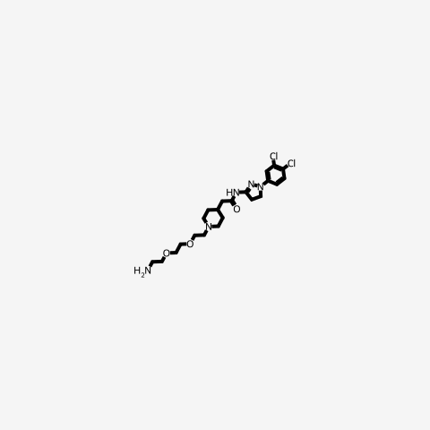 NCCOCCOCCN1CCC(CC(=O)NC2=NN(c3ccc(Cl)c(Cl)c3)CC2)CC1